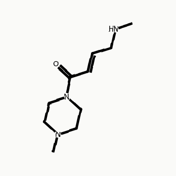 CNC/C=C/C(=O)N1CCN(C)CC1